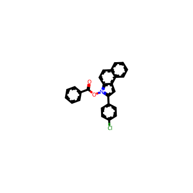 O=C(On1c(-c2ccc(Cl)cc2)cc2c3ccccc3ccc21)c1ccccc1